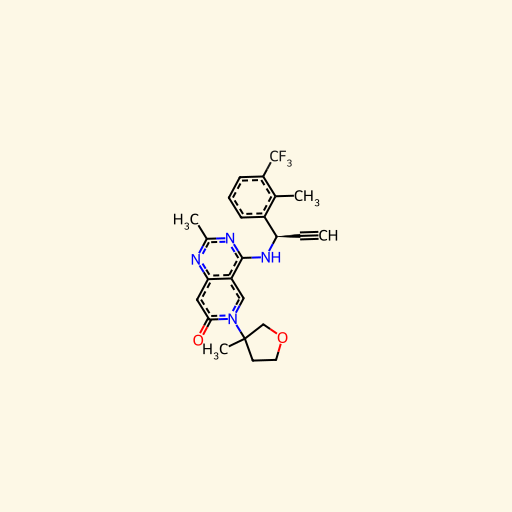 C#C[C@@H](Nc1nc(C)nc2cc(=O)n(C3(C)CCOC3)cc12)c1cccc(C(F)(F)F)c1C